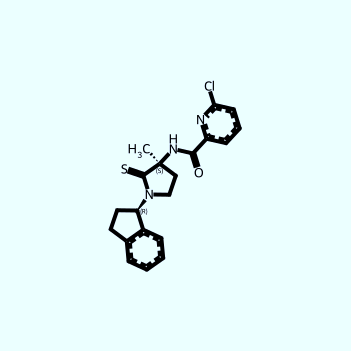 C[C@]1(NC(=O)c2cccc(Cl)n2)CCN([C@@H]2CCc3ccccc32)C1=S